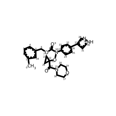 Cc1cccc(COC(=O)N(OC2(C(=O)N3CCOCC3)CC2)c2ccc(-c3cn[nH]c3)cc2)c1